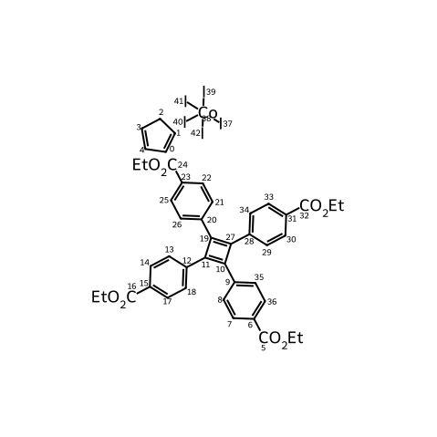 C1=CCC=C1.CCOC(=O)c1ccc(C2=C(c3ccc(C(=O)OCC)cc3)C(c3ccc(C(=O)OCC)cc3)=C2c2ccc(C(=O)OCC)cc2)cc1.[I][Co]([I])([I])([I])[I]